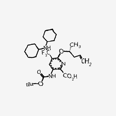 C1CCC(NC2CCCCC2)CC1.C=CC[C@@H](C)Oc1nc(C(=O)O)c(NC(=O)OC(C)(C)C)cc1C(F)(F)F